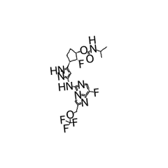 CC(C)NC(=O)O[C@@H]1CC[C@H](c2cc(Nc3ncc(F)c4nc(COC(F)(F)F)cn34)n[nH]2)[C@H]1F